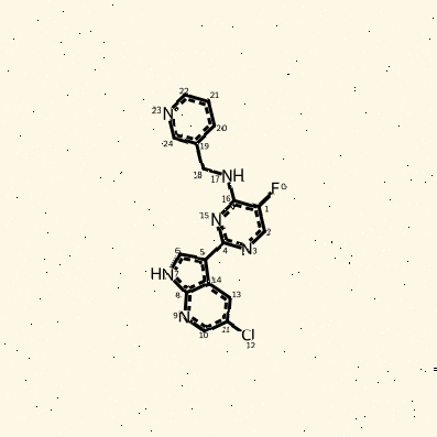 Fc1cnc(-c2c[nH]c3ncc(Cl)cc23)nc1NCc1cccnc1